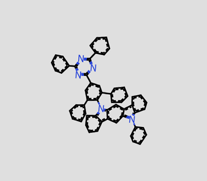 c1ccc(-c2nc(-c3ccccc3)nc(-c3cc(-c4ccccc4)c(-n4c5ccccc5c5cc6c(cc54)c4ccccc4n6-c4ccccc4)c(-c4ccccc4)c3)n2)cc1